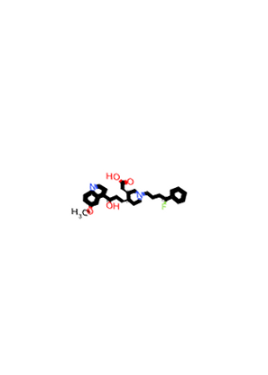 COc1ccc2nccc([C@H](O)CC[C@@H]3CCN(CCC[C@H](F)c4ccccc4)C[C@@H]3CC(=O)O)c2c1